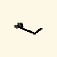 CCCCCCCC/C=C\CCCCCCCCCCCCN(CCCN)CCCN